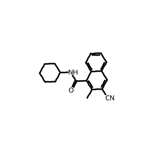 Cc1c(C#N)cc2ccccc2c1C(=O)NC1CCCCC1